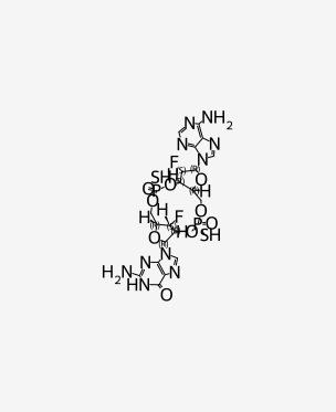 Nc1nc2c(ncn2[C@@H]2O[C@@H]3COP(=O)(S)O[C@H]4[C@H](F)[C@H](n5cnc6c(N)ncnc65)O[C@@H]4COP(=O)(S)O[C@@H]2[C@H]3F)c(=O)[nH]1